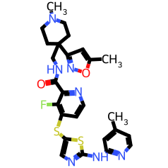 Cc1ccnc(Nc2ncc(Sc3ccnc(C(=O)NCC4(c5cc(C)on5)CCN(C)CC4)c3F)s2)c1